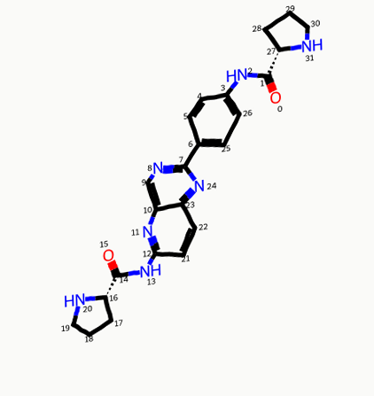 O=C(Nc1ccc(-c2ncc3nc(NC(=O)[C@@H]4CCCN4)ccc3n2)cc1)[C@@H]1CCCN1